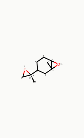 CC12CC([C@]3(C)CO3)CCC1O2